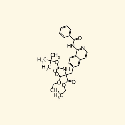 CCOC(=O)C(Cc1ccc2c(NC(=O)c3ccccc3)nccc2c1)(NC(=O)OC(C)(C)C)C(=O)OCC